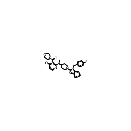 CN(c1nccc(=O)n1C(=O)N1CCOCC1)C1CCN(c2nc3ccccc3n2Cc2ccc(F)cc2)CC1